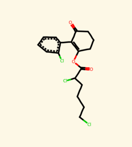 O=C1CCCC(OC(=O)C(Cl)CCCCCl)=C1c1ccccc1Cl